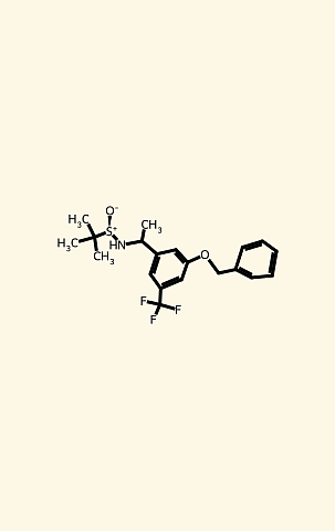 CC(N[S@+]([O-])C(C)(C)C)c1cc(OCc2ccccc2)cc(C(F)(F)F)c1